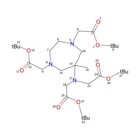 CC(C)(C)OC(=O)CN1CCN(CC(=O)OC(C)(C)C)CC(C)(N(CC(=O)OC(C)(C)C)CC(=O)OC(C)(C)C)C1